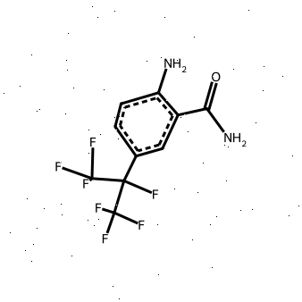 NC(=O)c1cc(C(F)(C(F)(F)F)C(F)(F)F)ccc1N